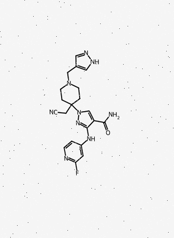 N#CCC1(n2cc(C(N)=O)c(Nc3ccnc(F)c3)n2)CCN(Cc2cn[nH]c2)CC1